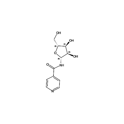 O=C(N[C@@H]1O[C@H](CO)[C@@H](O)[C@H]1O)c1ccncc1